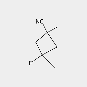 CC1(F)CC(C)(C#N)C1